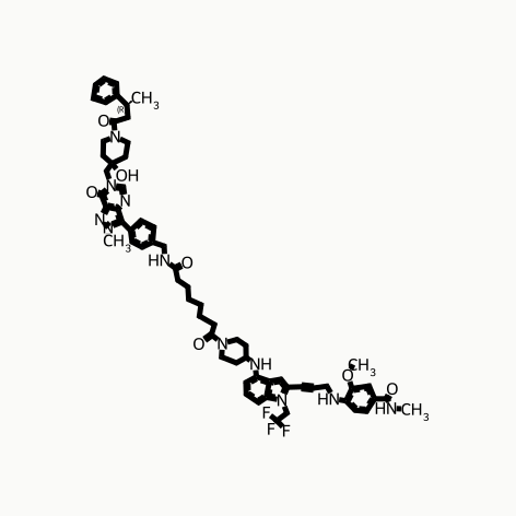 CNC(=O)c1ccc(NCC#Cc2cc3c(NC4CCN(C(=O)CCCCCCC(=O)NCc5ccc(-c6c7ncn(CC8(O)CCN(C(=O)C[C@@H](C)c9ccccc9)CC8)c(=O)c7nn6C)cc5)CC4)cccc3n2CC(F)(F)F)c(OC)c1